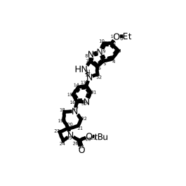 CCOc1ccc2c3c(nn2c1)NN(c1ccc(N2CCC4(CC2)CCN4C(=O)OC(C)(C)C)nc1)C3